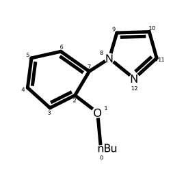 CCCCOc1ccccc1-n1cc[c]n1